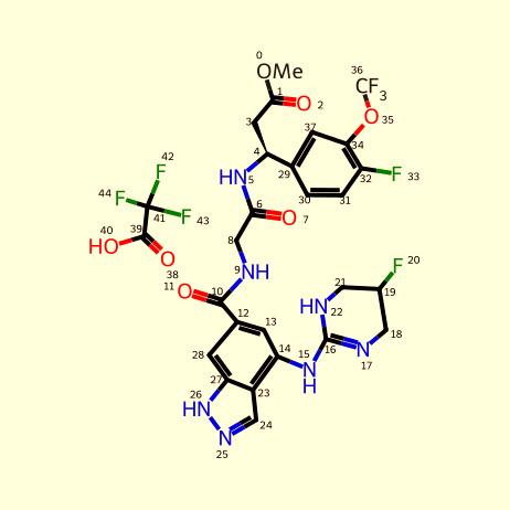 COC(=O)C[C@H](NC(=O)CNC(=O)c1cc(NC2=NCC(F)CN2)c2cn[nH]c2c1)c1ccc(F)c(OC(F)(F)F)c1.O=C(O)C(F)(F)F